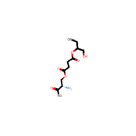 N[C@@H](COC(=O)CCC(=O)OC(CO)CN=O)C(=O)N=O